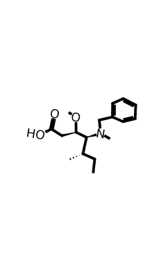 CC[C@H](C)[C@@H]([C@@H](CC(=O)O)OC)N(C)Cc1ccccc1